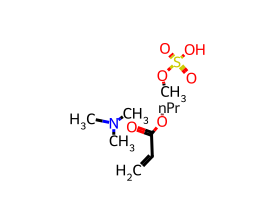 C=CC(=O)OCCC.CN(C)C.COS(=O)(=O)O